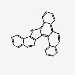 c1ccc2c(c1)ccc1c2[nH]c2c3ccccc3c3ccc4ccccc4c3c12